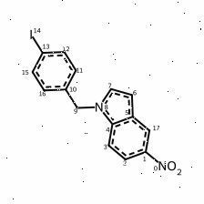 O=[N+]([O-])c1ccc2c(ccn2Cc2ccc(I)cc2)c1